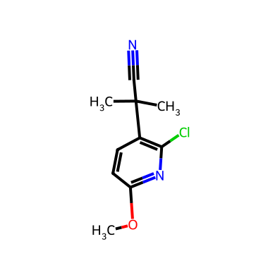 COc1ccc(C(C)(C)C#N)c(Cl)n1